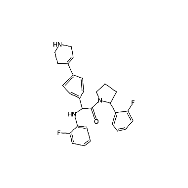 O=C(C(Nc1ccccc1F)c1ccc(C2=CCNCC2)cc1)N1CCCC1c1ccccc1F